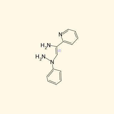 N/C(=C\N(N)c1ccccc1)c1ccccn1